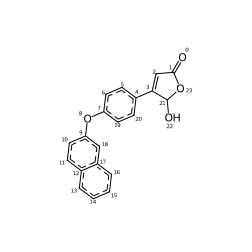 O=C1C=C(c2ccc(Oc3ccc4ccccc4c3)cc2)C(O)O1